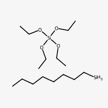 CCCCCCCC[SiH3].CCO[Si](OCC)(OCC)OCC